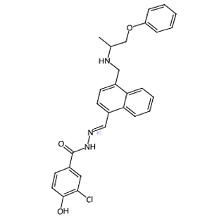 CC(COc1ccccc1)NCc1ccc(/C=N/NC(=O)c2ccc(O)c(Cl)c2)c2ccccc12